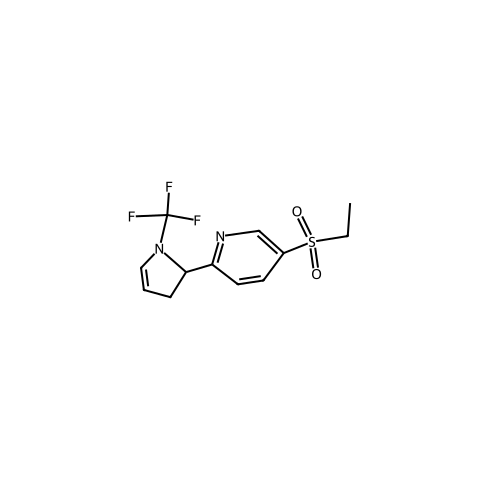 CCS(=O)(=O)c1ccc(C2CC=CN2C(F)(F)F)nc1